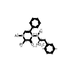 CC(=O)N1C=C(c2ccccc2)N(N(C(C)=O)[C@@H](Cc2ccccc2)C(=O)O)C(=O)C1C(C)C